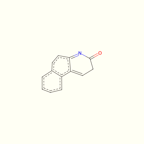 O=C1CC=c2c(ccc3ccccc23)=N1